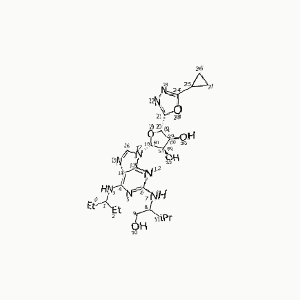 CCC(CC)Nc1nc(NC(CO)C(C)C)nc2c1ncn2[C@@H]1O[C@H](c2nnc(C3CC3)o2)[C@@H](O)[C@H]1O